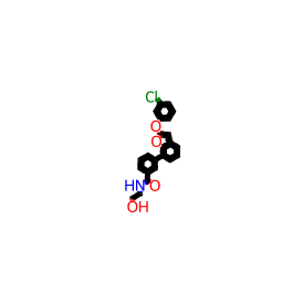 O=C(NCCO)c1cccc(-c2cccc3cc(Oc4cccc(Cl)c4)oc23)c1